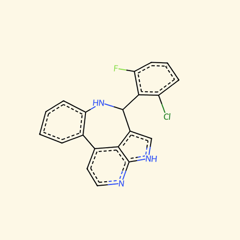 Fc1cccc(Cl)c1C1Nc2ccccc2-c2ccnc3[nH]cc1c23